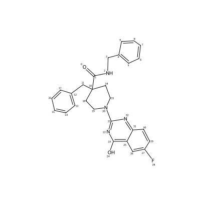 O=C(NCc1ccccc1)C1(Cc2ccccc2)CCN(c2nc(O)c3cc(F)ccc3n2)CC1